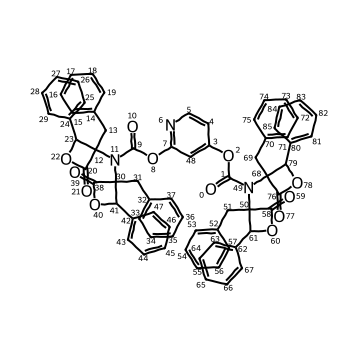 O=C(Oc1ccnc(OC(=O)N(C2(Cc3ccccc3)C(=O)OC2c2ccccc2)C2(Cc3ccccc3)C(=O)OC2c2ccccc2)c1)N(C1(Cc2ccccc2)C(=O)OC1c1ccccc1)C1(Cc2ccccc2)C(=O)OC1c1ccccc1